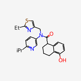 CCc1nc(CN(C(=O)C2CCCc3c(O)cccc32)c2ccc(C(C)C)nc2)cs1